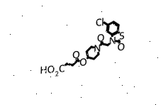 O=C(O)CCC(=O)OC1CCN(C(=O)Cn2c(=O)sc3ccc(Cl)cc32)CC1